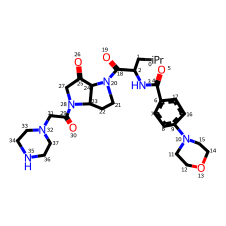 CC(C)CC(NC(=O)c1ccc(N2CCOCC2)cc1)C(=O)N1CCC2C1C(=O)CN2C(=O)CN1CCNCC1